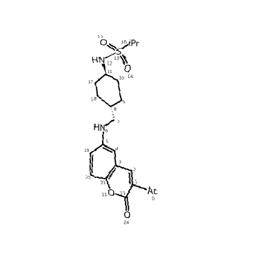 CC(=O)c1cc2cc(NC[C@H]3CC[C@H](NS(=O)(=O)C(C)C)CC3)ccc2oc1=O